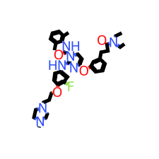 CCN(CC)C(=O)CCc1cccc(OC2=CCN(C(=O)Nc3c(C)cccc3C)C(Nc3ccc(OCCCN4CCN(C)CC4)c(F)c3)=N2)c1